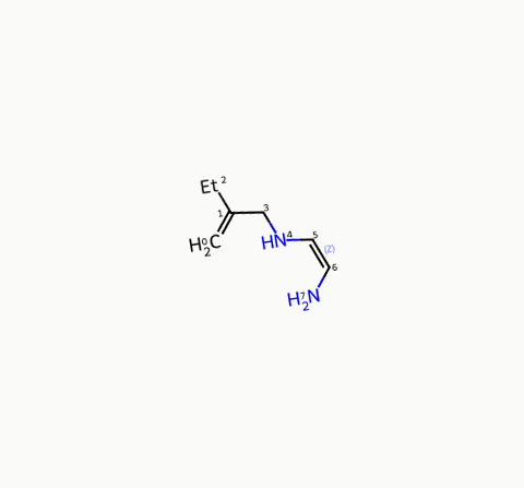 C=C(CC)CN/C=C\N